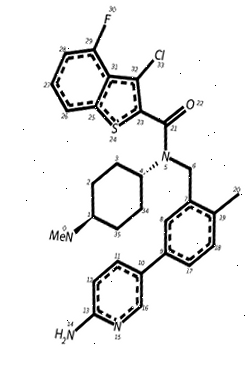 CN[C@H]1CC[C@H](N(Cc2cc(-c3ccc(N)nc3)ccc2C)C(=O)c2sc3cccc(F)c3c2Cl)CC1